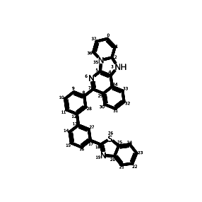 C1=CC2Nc3c(nc(-c4cccc(-c5cccc(-c6nc7ccccc7s6)c5)c4)c4ccccc34)N2C=C1